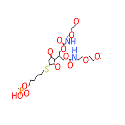 COCCOCCNC(=O)OCC(COC(=O)NCOCCOC)C1C(=O)CC(SCCCCCCOP(C)(=O)O)C1=O